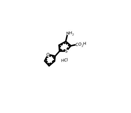 Cl.Nc1cc(-c2ccco2)sc1C(=O)O